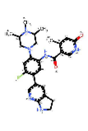 CC1CN(c2cc(F)c(-c3cnc4c(c3)CCN4)cc2NC(=O)c2c[nH]c(=O)cc2C(F)(F)F)CC(C)N1C